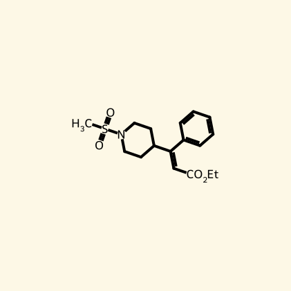 CCOC(=O)/C=C(\c1ccccc1)C1CCN(S(C)(=O)=O)CC1